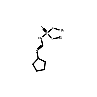 CCCOP(=S)(NC=NC1CCCC1)SCC